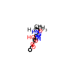 CC(C)[C@@H](C)C(=O)Nc1ncnn2c([C@]3(C#N)O[C@@H](COC(=O)CC4CCCCC4)[CH][C@H]3O)ccc12